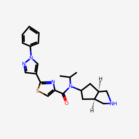 CC(C)N(C(=O)c1csc(-c2cnn(-c3ccccc3)c2)n1)C1C[C@H]2CNC[C@H]2C1